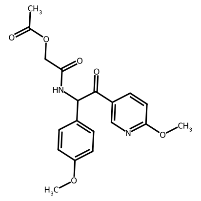 COc1ccc(C(NC(=O)COC(C)=O)C(=O)c2ccc(OC)nc2)cc1